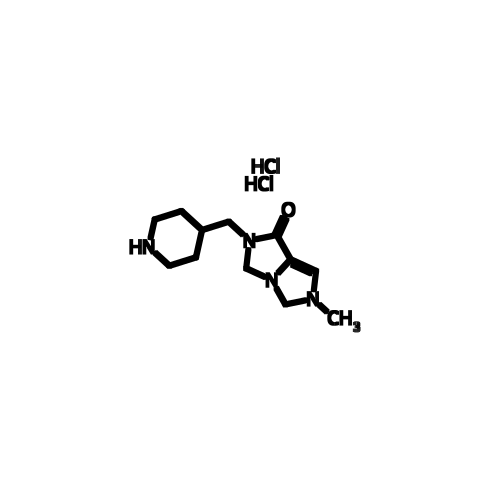 CN1C=C2C(=O)N(CC3CCNCC3)CN2C1.Cl.Cl